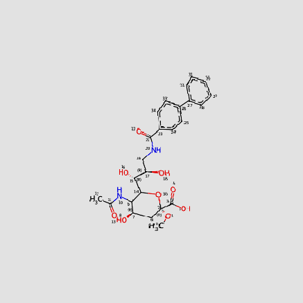 CO[C@]1(C(=O)O)C[C@@H](O)C(NC(C)=O)C([C@H](O)[C@H](O)CNC(=O)c2ccc(-c3ccccc3)cc2)O1